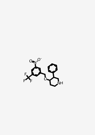 O=[N+]([O-])c1cc(COC2CCNCC2c2ccccc2)cc(C(F)(F)F)c1